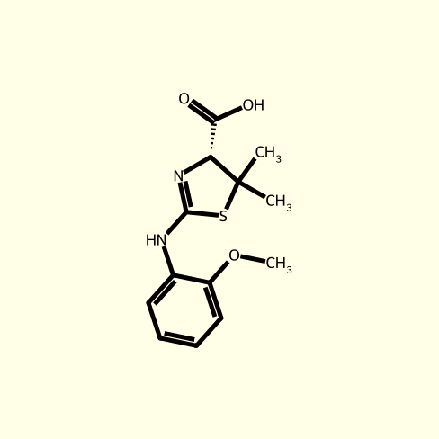 COc1ccccc1NC1=N[C@H](C(=O)O)C(C)(C)S1